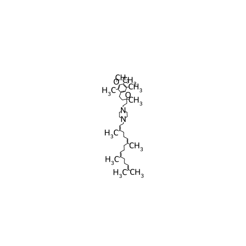 COc1c(C)c(C)c2c(c1C)CCC(C)(CCN1CCN(CC=C(C)CCC=C(C)CCC=C(C)CCC=C(C)C)CC1)O2